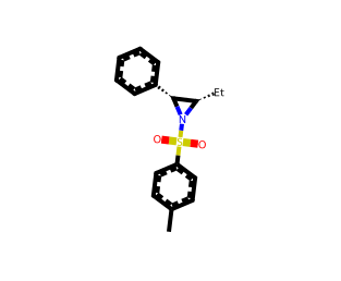 CC[C@H]1[C@@H](c2ccccc2)N1S(=O)(=O)c1ccc(C)cc1